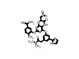 Cc1ccc(C(=N)N)cc1Oc1nc(Oc2cc(CC(=O)N(C)C)cc(-c3ncc[nH]3)c2)c2c(n1)OC(C=S(=O)=O)C(=O)N2